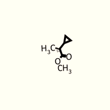 COC(=O)[C@@H](C)C1CC1